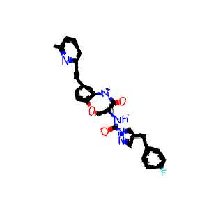 Cc1cccc(C#Cc2ccc3c(c2)N(C)C(=O)[C@@H](NC(=O)n2cc(Cc4ccc(F)cc4)cn2)CO3)n1